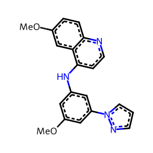 COc1cc(Nc2ccnc3ccc(OC)cc23)cc(-n2cccn2)c1